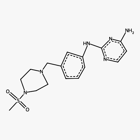 CS(=O)(=O)N1CCN(Cc2cccc(Nc3nccc(N)n3)c2)CC1